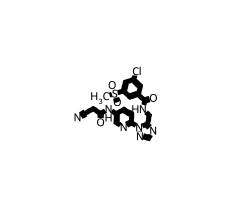 CS(=O)(=O)c1cc(Cl)cc(C(=O)NCc2ncnn2-c2ccc(NC(=O)CC#N)cn2)c1